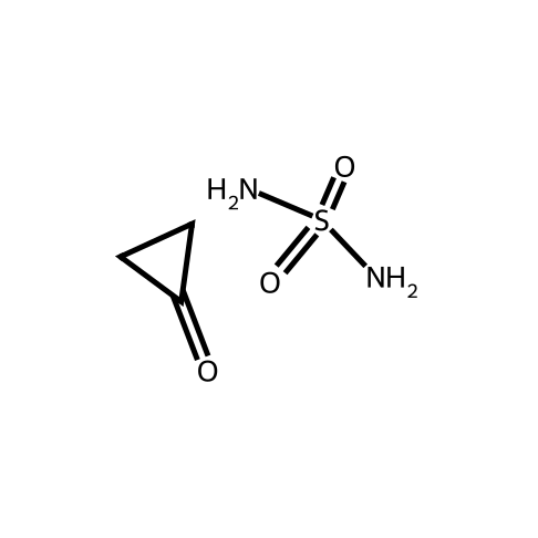 NS(N)(=O)=O.O=C1CC1